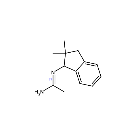 C/C(N)=N\C1c2ccccc2CC1(C)C